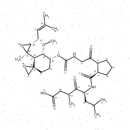 CO[C@@H]1[C@H](OC(=O)NCC(=O)N2CCC[C@H]2C(=O)N[C@@H](CC(C)C)C(=O)N(C)CC(=O)O)CC[C@]2(CO2)[C@H]1[C@@]1(C)O[C@@H]1CC=C(C)C